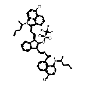 C=C(/C=C/C1=C(OS(=O)(=O)C(F)(F)F)C(=C/C=c2\c3cccc4c(Cl)ccc(c43)n2C(C)CCC)/c2ccccc21)c1cccc2c(Cl)ccc(N(C)C(C)CCC)c12